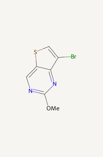 COc1ncc2scc(Br)c2n1